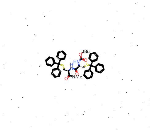 CNC(=O)[C@@H](CSC(c1ccccc1)(c1ccccc1)c1ccccc1)NC(=O)[C@@H](CSC(c1ccccc1)(c1ccccc1)c1ccccc1)NC(=O)OC(C)(C)C